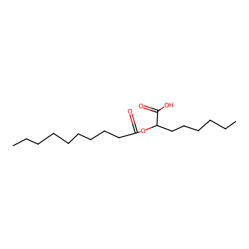 CCCCCCCCCC(=O)OC(CCCCCC)C(=O)O